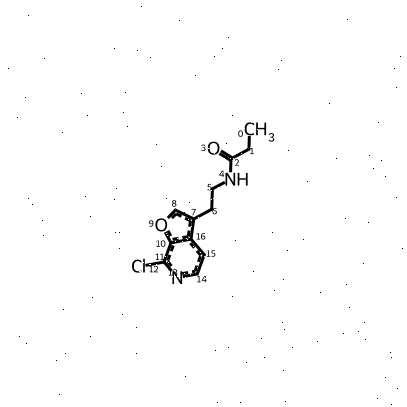 CCC(=O)NCCc1coc2c(Cl)nccc12